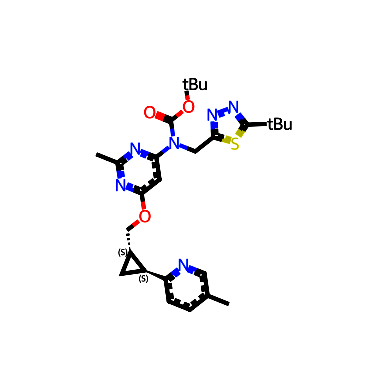 Cc1ccc([C@H]2C[C@@H]2COc2cc(N(Cc3nnc(C(C)(C)C)s3)C(=O)OC(C)(C)C)nc(C)n2)nc1